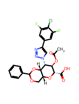 CC(=O)O[C@@H]1[C@@H](n2cc(-c3cc(F)c(Cl)c(F)c3)nn2)[C@H]2OC(c3ccccc3)OC[C@H]2O[C@H]1C(=O)O